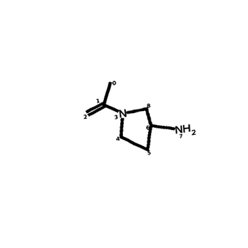 [CH2]C(=C)N1CCC(N)C1